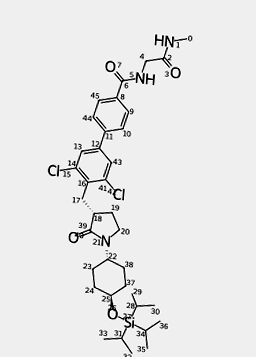 CNC(=O)CNC(=O)c1ccc(-c2cc(Cl)c(C[C@@H]3CCN([C@H]4CC[C@H](O[Si](C(C)C)(C(C)C)C(C)C)CC4)C3=O)c(Cl)c2)cc1